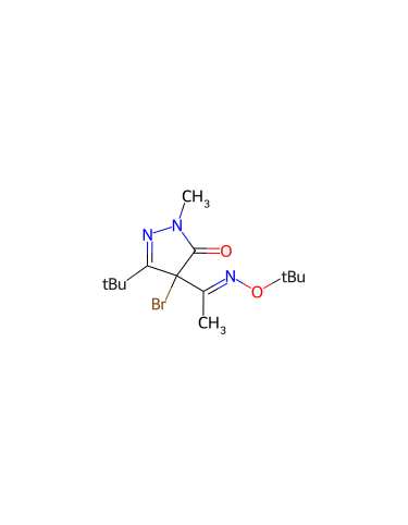 CC(=NOC(C)(C)C)C1(Br)C(=O)N(C)N=C1C(C)(C)C